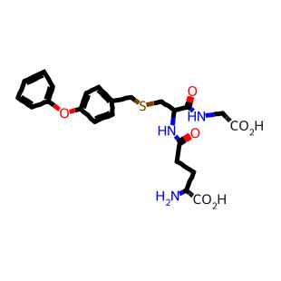 NC(CCC(=O)NC(CSCc1ccc(Oc2ccccc2)cc1)C(=O)NCC(=O)O)C(=O)O